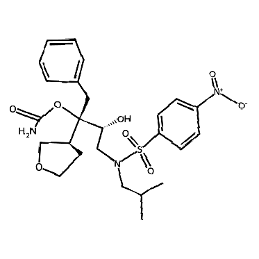 CC(C)CN(C[C@@H](O)[C@@](Cc1ccccc1)(OC(N)=O)[C@H]1CCOC1)S(=O)(=O)c1ccc([N+](=O)[O-])cc1